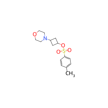 Cc1ccc(S(=O)(=O)OC2CC(N3CCOCC3)C2)cc1